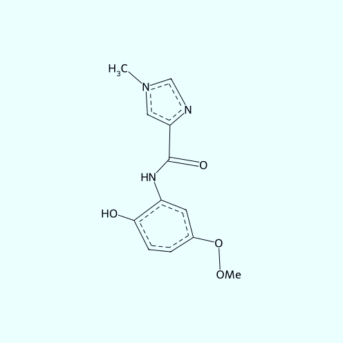 COOc1ccc(O)c(NC(=O)c2cn(C)cn2)c1